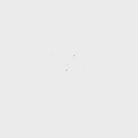 CC1(N)CC[C@@H]2CN3CCc4cccc(c43)[C@@H]2C1